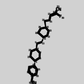 CCCCc1ccc([C@H]2CC[C@H](CC[C@H]3CC[C@H](CCC=C(F)C#N)CC3)CC2)cc1